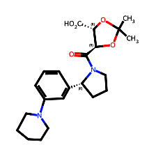 CC1(C)O[C@@H](C(=O)O)[C@H](C(=O)N2CCC[C@@H]2c2cccc(N3CCCCC3)c2)O1